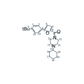 CC(C)(C)c1ccc(-c2ccc(C(=O)N3CCN(C4CCCCC4)CC3)o2)cc1